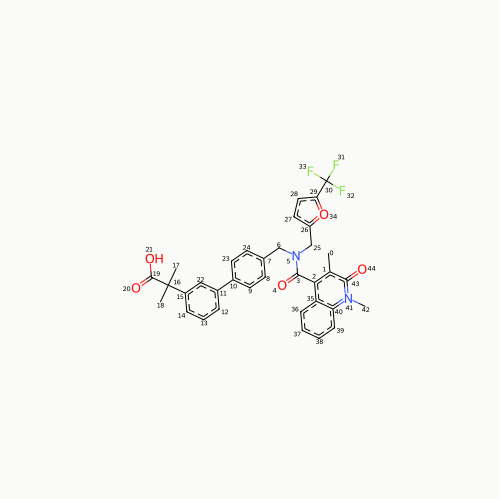 Cc1c(C(=O)N(Cc2ccc(-c3cccc(C(C)(C)C(=O)O)c3)cc2)Cc2ccc(C(F)(F)F)o2)c2ccccc2n(C)c1=O